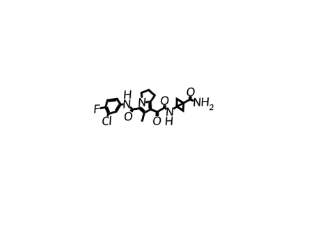 Cc1c(C(=O)C(=O)NC23CC2(C(N)=O)C3)c2n(c1C(=O)Nc1ccc(F)c(Cl)c1)CCC2